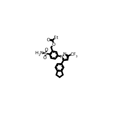 CCC(=O)OCc1cc(-n2nc(C(F)(F)F)cc2-c2ccc3c(c2)CCC3)ccc1S(N)(=O)=O